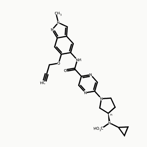 C#CCOc1cc2nn(C)cc2cc1NC(=O)c1cnc(N2CC[C@@H](N(C(=O)O)C3CC3)C2)cn1